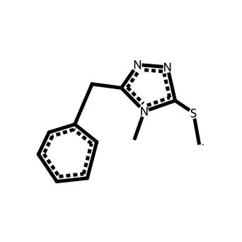 [CH2]Sc1nnc(Cc2ccccc2)n1C